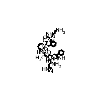 C[C@H](NC(=O)[C@@H](Cc1c[nH]c2ccccc12)NC(=O)[C@@H](N)Cc1cnc[nH]1)C(=O)NN1CC=CCN([C@H](Cc2ccccc2)C(=O)N[C@@H](CCCCN)C(N)=O)C1=O